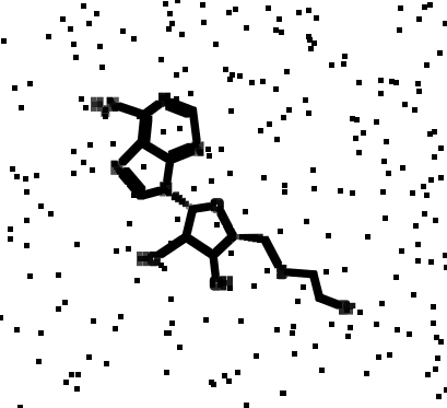 Nc1ncnc2c1ncn2[C@@H]1O[C@H](CSCCBr)C(O)C1O